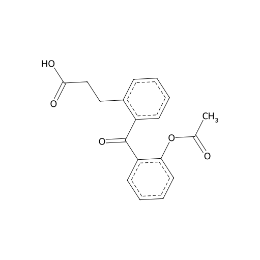 CC(=O)Oc1ccccc1C(=O)c1ccccc1CCC(=O)O